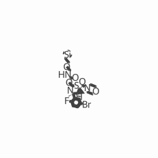 C[C@]1(c2cc(Br)ccc2F)N=C(OC(=O)NCOCC[Si](C)(C)C)S[C@@]2(C(=O)N3CCOCC3)C[C@H]21